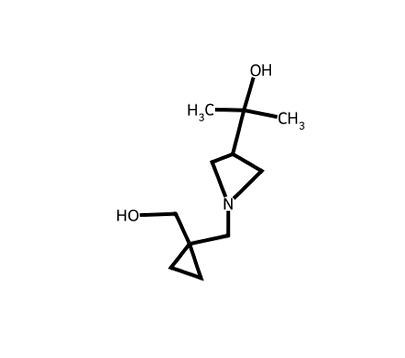 CC(C)(O)C1CN(CC2(CO)CC2)C1